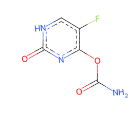 NC(=O)Oc1nc(=O)[nH]cc1F